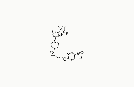 O=S(=O)(I)c1ccc(OCCC2C[C@@H]2C2CCN(c3noc(C4(C(F)(F)F)CC4)n3)CC2)nc1